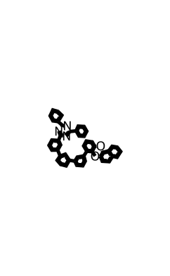 c1ccc(-c2nc(-c3ccccc3)nc(-c3cccc(-c4cccc(-c5cccc(-c6cccc7c6Oc6ccc8ccccc8c6O7)c5)c4)c3)n2)cc1